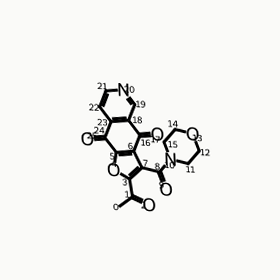 CC(=O)c1oc2c(c1C(=O)N1CCOCC1)C(=O)c1cnccc1C2=O